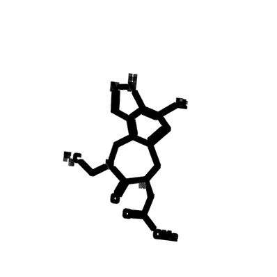 CCc1cc2c(c3cn[nH]c13)CN(CC(F)(F)F)C(=O)[C@H](CC(=O)OC)C2